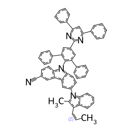 C/C=C\c1c(C)n(-c2ccc3c(c2)c2cc(C#N)ccc2n3-c2c(-c3ccccc3)cc(-c3nc(-c4ccccc4)cc(-c4ccccc4)n3)cc2-c2ccccc2)c2ccccc12